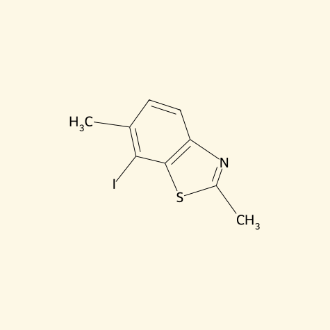 Cc1nc2ccc(C)c(I)c2s1